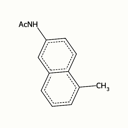 CC(=O)Nc1ccc2c(C)cccc2c1